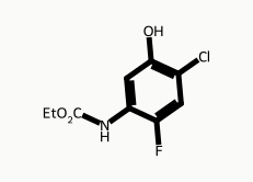 CCOC(=O)Nc1cc(O)c(Cl)cc1F